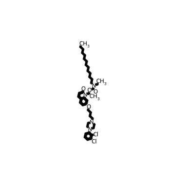 CCCCCCCCCCCCCCN(CC)C(=O)OC(C)n1c(=O)ccc2ccc(OCCCCN3CCN(c4cccc(Cl)c4Cl)CC3)cc21